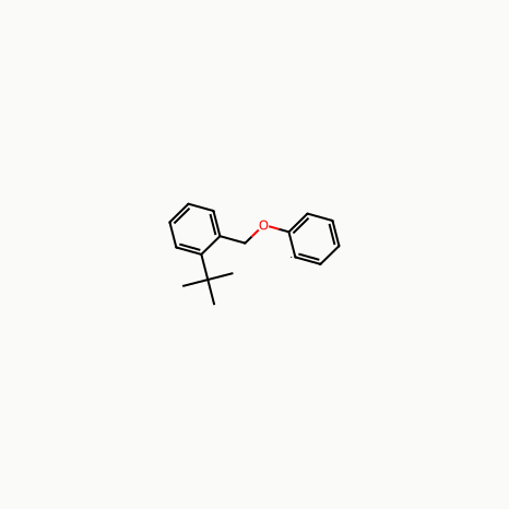 CC(C)(C)c1ccccc1COc1[c]cccc1